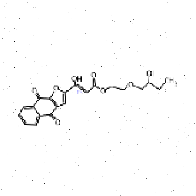 CCC(O)COCCOC(=O)/C=C(\O)c1cc2c(o1)C(=O)c1ccccc1C2=O